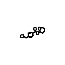 O=C(OC1CCCCO1)c1ccc(CCl)cc1